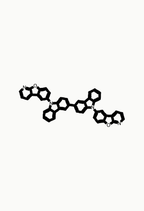 c1cnc2oc3ccc(-n4c5ccccc5c5cc(-c6ccc7c(c6)c6ccccc6n7-c6ccc7oc8ncccc8c7c6)ccc54)cc3c2c1